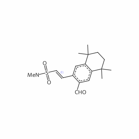 CNS(=O)(=O)/C=C/c1cc2c(cc1C=O)C(C)(C)CCC2(C)C